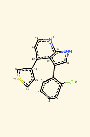 Fc1ccccc1-c1c[nH]c2nccc(-c3ccsc3)c12